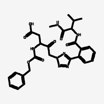 CNC(=O)C(NC(=O)c1ccccc1-c1nnn(CC(=O)C(CC(=O)O)NC(=O)OCc2ccccc2)n1)C(C)C